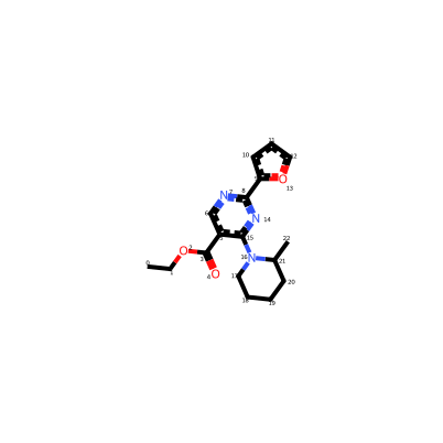 CCOC(=O)c1cnc(-c2ccco2)nc1N1CCCCC1C